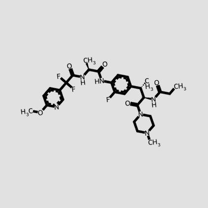 CCC(=O)N[C@@H](C(=O)N1CCN(C)CC1)[C@@H](C)c1ccc(NC(=O)[C@H](C)NC(=O)C(F)(F)c2ccc(OC)nc2)c(F)c1